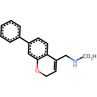 O=C(O)NCC1=CCOc2cc(-c3ccccc3)ccc21